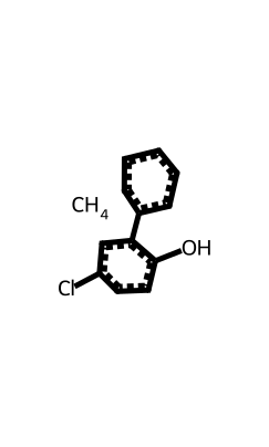 C.Oc1ccc(Cl)cc1-c1ccccc1